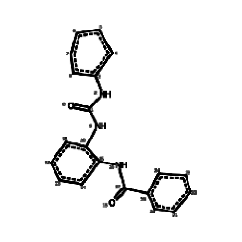 O=C(Nc1ccccc1)Nc1ccccc1NC(=O)c1ccccc1